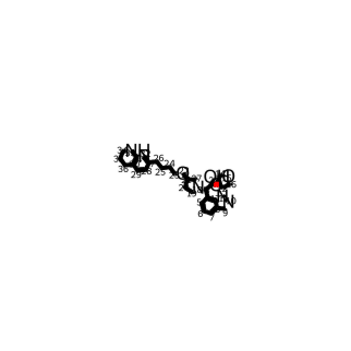 O=C(O)C(c1cccc2cnn(C3CCOC3)c12)N1CCC(OCCCCc2ccc3c(n2)NCCC3)C1